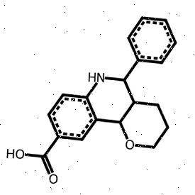 O=C(O)c1ccc2c(c1)C1OCCCC1C(c1ccccc1)N2